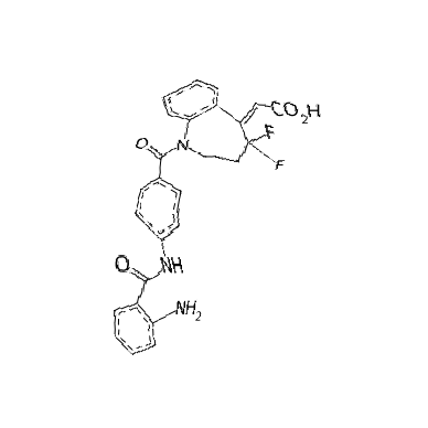 Nc1ccccc1C(=O)Nc1ccc(C(=O)N2CCC(F)(F)C(=CC(=O)O)c3ccccc32)cc1